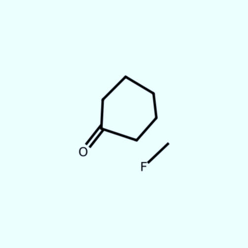 CF.O=C1CCCCC1